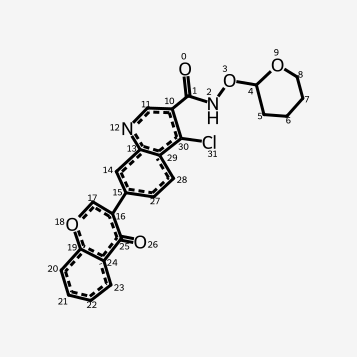 O=C(NOC1CCCCO1)c1cnc2cc(-c3coc4ccccc4c3=O)ccc2c1Cl